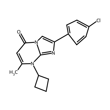 Cc1cc(=O)n2cc(-c3ccc(Cl)cc3)nc2n1C1CCC1